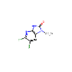 CCOC(=O)n1c(=O)[nH]c2nc(Cl)c(Br)cc21